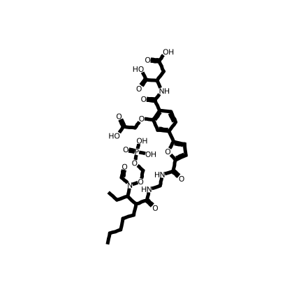 CCCCCC(C(=O)NCNC(=O)c1ccc(-c2ccc(C(=O)NC(CC(=O)O)C(=O)O)c(OCC(=O)O)c2)o1)C(CC)N(C=O)OCOP(=O)(O)O